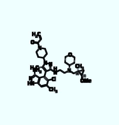 C=CC(=O)N1CCC(n2nc(NCCN(C[C@@]3(C)C[C@H]3OC)C3CCOCC3)c(-c3c(Cl)c(C)cc4[nH]nc(N)c34)c2C)CC1